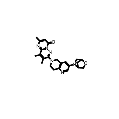 Cc1cc(=O)n2nc(N3CCc4ncc(N5CC6CC5CO6)cc4C3)c(C)c(C)c2n1